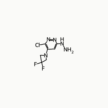 NNc1cc(N2CC(F)(F)C2)c(Cl)nn1